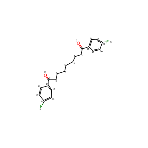 O=C(CCCCCCCC(=O)c1ccc(F)cc1)c1ccc(F)cc1